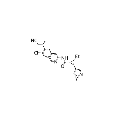 CC[C@H]1[C@@H](C(=O)Nc2cc3cc([C@H](C)CC#N)c(Cl)cc3cn2)[C@@H]1c1cnn(C)c1